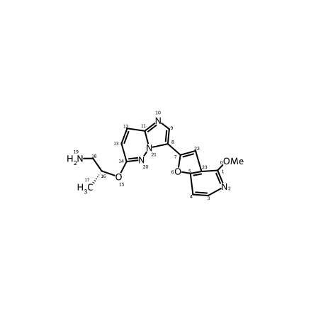 COc1nccc2oc(-c3cnc4ccc(O[C@H](C)CN)nn34)cc12